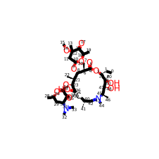 CC[C@H]1OC(=O)[C@H](C)[C@@H](OC2CC(C)(OC)C(=O)C(C)O2)[C@H](C)[C@@H](OC2OC(C)CC(N(C)C)C2=O)[C@](C)(O)C[C@@H](C)CN(C)[C@H](C)[C@@H](O)[C@]1(C)O